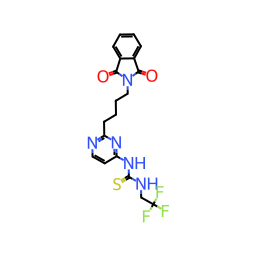 O=C1c2ccccc2C(=O)N1CCCCc1nccc(NC(=S)NCC(F)(F)F)n1